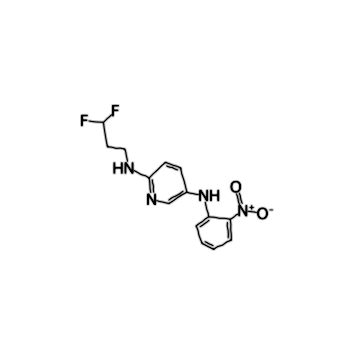 O=[N+]([O-])c1ccccc1Nc1ccc(NCCC(F)F)nc1